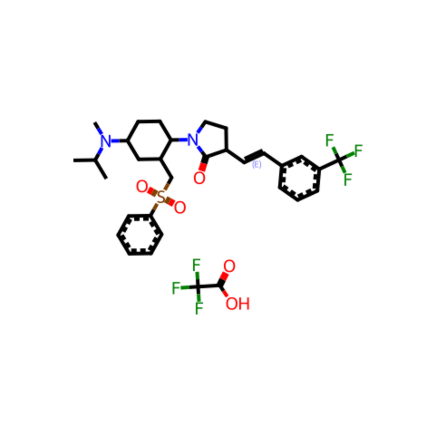 CC(C)N(C)C1CCC(N2CCC(/C=C/c3cccc(C(F)(F)F)c3)C2=O)C(CS(=O)(=O)c2ccccc2)C1.O=C(O)C(F)(F)F